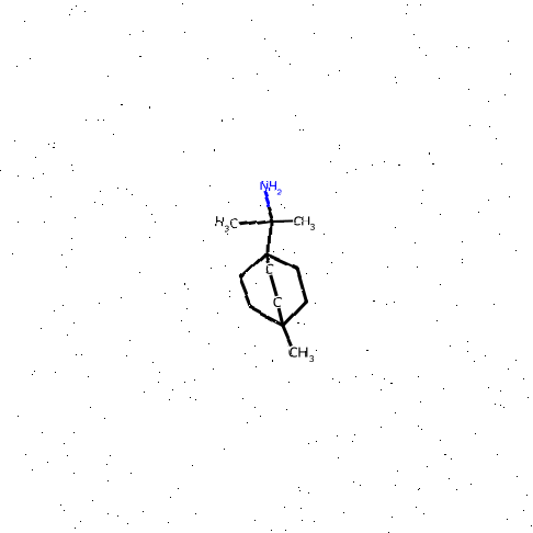 CC12CCC(C(C)(C)N)(CC1)CC2